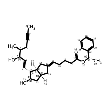 CC#CCC(C)[C@H](O)C=C[C@@H]1[C@H]2CC(=CCCCC(=O)O[C@@H](C)c3ccccc3)C[C@H]2C[C@H]1O